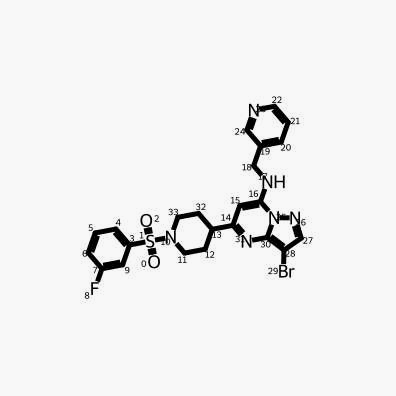 O=S(=O)(c1cccc(F)c1)N1CCC(c2cc(NCc3cccnc3)n3ncc(Br)c3n2)CC1